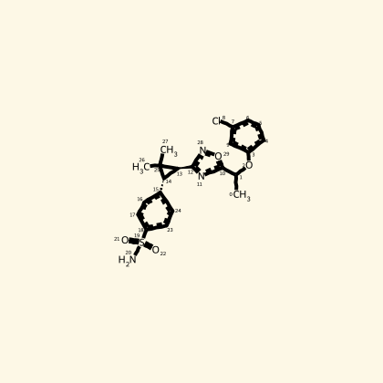 CC(Oc1cccc(Cl)c1)c1nc([C@H]2[C@H](c3ccc(S(N)(=O)=O)cc3)C2(C)C)no1